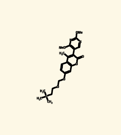 COc1ncc(-c2c(C)c3ccc(OCOCC[Si](C)(C)C)cc3oc2=O)c(OC)n1